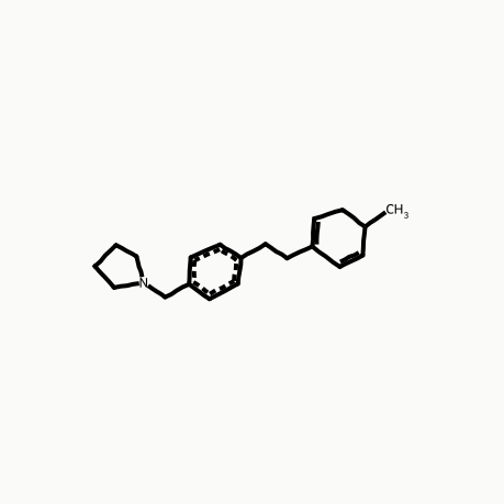 CC1C=CC(CCc2ccc(CN3CCCC3)cc2)=CC1